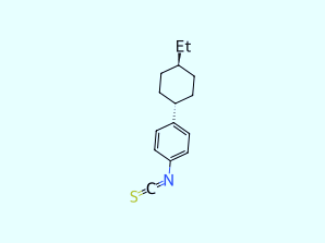 CC[C@H]1CC[C@H](c2ccc(N=C=S)cc2)CC1